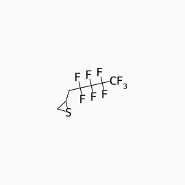 FC(F)(F)C(F)(F)C(F)(F)C(F)(F)CC1CS1